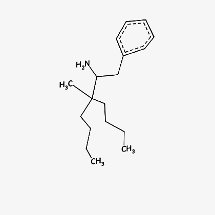 CCCCC(C)(CCCC)C(N)Cc1ccccc1